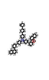 c1ccc(-c2ccc(-c3ccc(N(c4ccc(-c5cccc(-c6cccc7ccccc67)c5)cc4)c4ccc(-c5cccc6oc7c8ccccc8ccc7c56)cc4)cc3)cc2)cc1